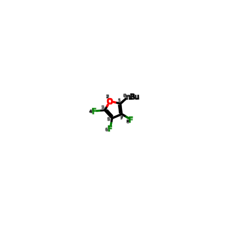 CCCCc1oc(F)c(F)c1F